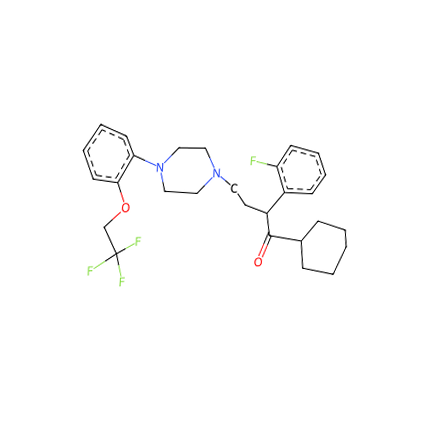 O=C(C1CCCCC1)C(CCN1CCN(c2ccccc2OCC(F)(F)F)CC1)c1ccccc1F